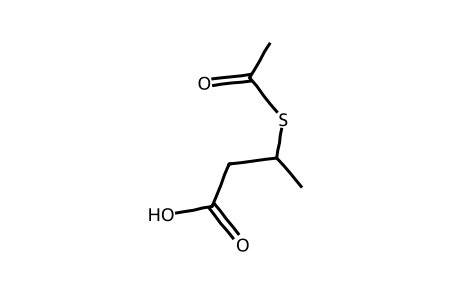 CC(=O)SC(C)CC(=O)O